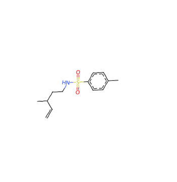 C=CC(C)CCNS(=O)(=O)c1ccc(C)cc1